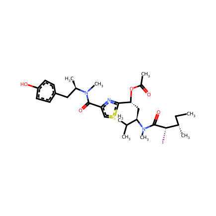 CC[C@H](C)[C@H](I)C(=O)N(C)[C@H](C[C@@H](OC(C)=O)c1nc(C(=O)N(C)[C@H](C)Cc2ccc(O)cc2)cs1)C(C)C